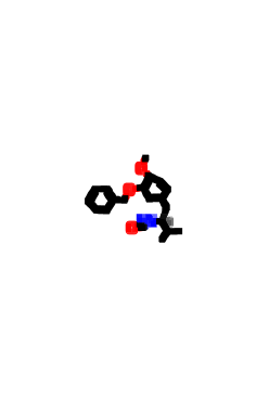 COc1ccc(C[C@H](NC=O)C(C)C)cc1OCc1ccccc1